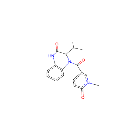 CC(C)C1C(=O)Nc2ccccc2N1C(=O)c1ccc(=O)n(C)c1